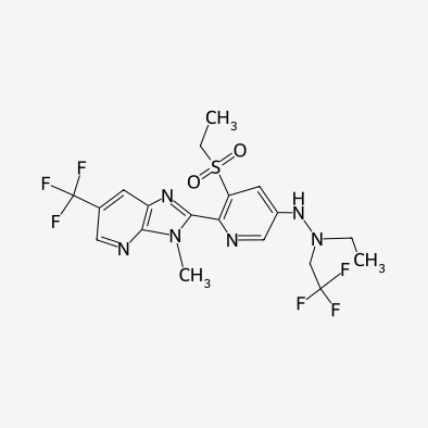 CCN(CC(F)(F)F)Nc1cnc(-c2nc3cc(C(F)(F)F)cnc3n2C)c(S(=O)(=O)CC)c1